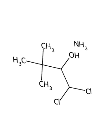 CC(C)(C)C(O)C(Cl)Cl.N